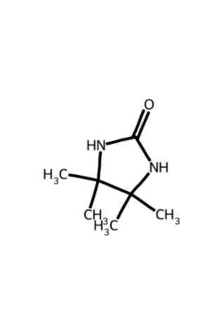 CC1(C)NC(=O)NC1(C)C